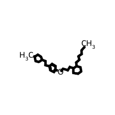 CCCCCCCC1CCCCC1CCCOc1ccc(CCC2CCC(C)CC2)cc1